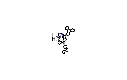 C=Cc1c(/C=C\C)n(-c2ccc3c4ccccc4c4ccccc4c3c2)c2ccc3c(c4ccccc4n3-c3ccc4sc5ccccc5c4c3)c12